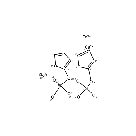 O.[Ca+2].[Ca+2].[Ca+2].[O-][Si]([O-])([O-])Oc1ccco1.[O-][Si]([O-])([O-])Oc1ccco1